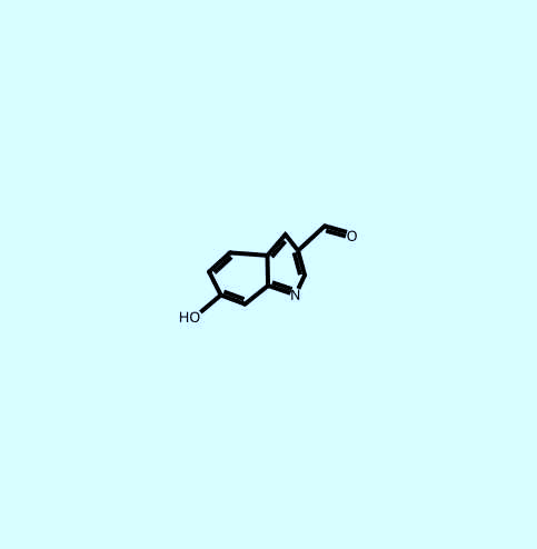 O=Cc1cnc2cc(O)ccc2c1